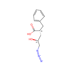 [N-]=[N+]=NC[C@@H](O)C[C@@H](Cc1ccccc1)C(=O)O